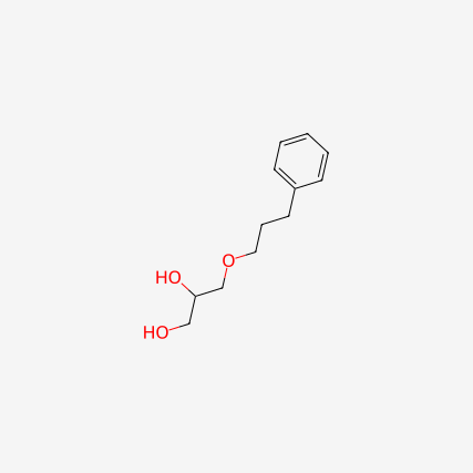 OCC(O)COCCCc1ccccc1